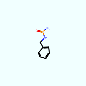 N[PH](=O)NCc1ccccc1